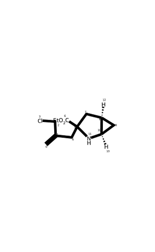 C=C(CCl)CC1(C(=O)OCC)C[C@H]2C[C@H]2N1